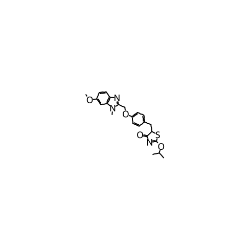 COc1ccc2nc(COc3ccc(CC4SC(OC(C)C)=NC4=O)cc3)n(C)c2c1